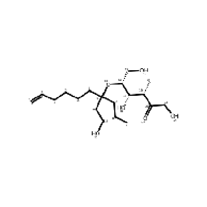 C=CCCCCC(CCC)(CCO)O[C@H](CO)[C@@H](O)[C@H](C)C(=O)CO